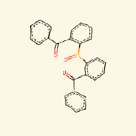 O=C(c1ccccc1)c1ccccc1[P](=O)c1ccccc1C(=O)c1ccccc1